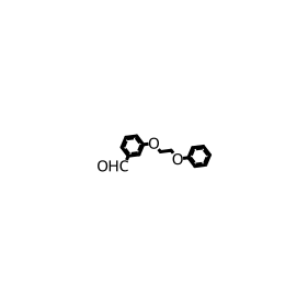 O=Cc1cccc(OCCOc2ccccc2)c1